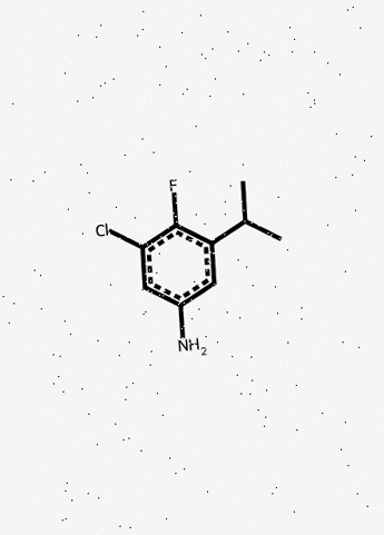 CC(C)c1cc(N)cc(Cl)c1F